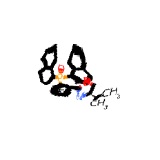 CC(C)[C@H]1COC([C]23[CH]4[CH]5[CH]6[C]2(P(=O)(c2cccc7ccccc27)c2cccc7ccccc27)[Fe]54632789[CH]3[CH]2[CH]7[CH]8[CH]39)=N1